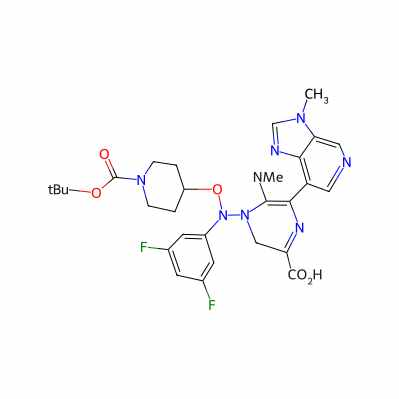 CNC1=C(c2cncc3c2ncn3C)N=C(C(=O)O)CN1N(OC1CCN(C(=O)OC(C)(C)C)CC1)c1cc(F)cc(F)c1